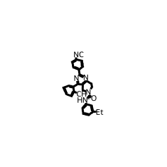 [C-]#[N+]c1ccc(-c2nc3c(c(-c4ccccc4C)n2)CN(C(=O)Nc2cccc(CC)c2)CC3)cc1